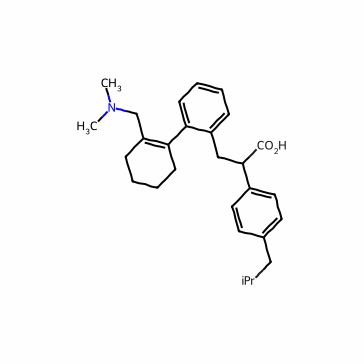 CC(C)Cc1ccc(C(Cc2ccccc2C2=C(CN(C)C)CCCC2)C(=O)O)cc1